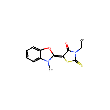 CCN1/C(=C2\SC(=S)N(CC(C)=O)C2=O)Oc2ccccc21